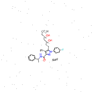 CC(C)c1c(C(=O)NC(C)c2ccccc2)nn(-c2ccc(F)cc2)c1CC[C@@H](O)C[C@@H](O)CC(=O)O.[NaH]